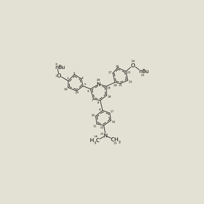 CCCCOc1ccc(-c2cc(-c3ccc(N(C)C)cc3)cc(-c3ccc(OCCCC)cc3)n2)cc1